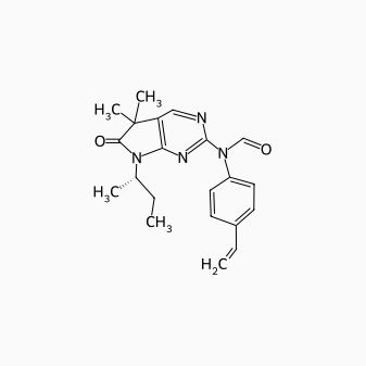 C=Cc1ccc(N(C=O)c2ncc3c(n2)N([C@@H](C)CC)C(=O)C3(C)C)cc1